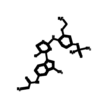 C=CC(=O)Nc1ccc2c(c1)c(C)cn2-c1nc(Nc2ccc(N=S(C)(C)=O)cc2OCC)ncc1Cl